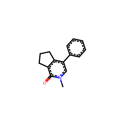 Cn1cc(-c2c[c]ccc2)c2c(c1=O)CCC2